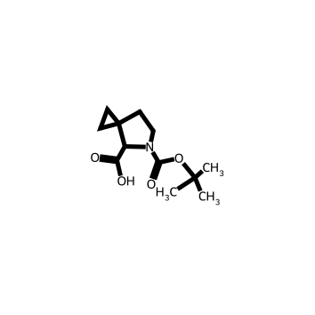 CC(C)(C)OC(=O)N1CCC2(CC2)C1C(=O)O